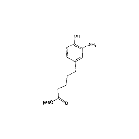 COC(=O)CCCCc1ccc(O)c(N)c1